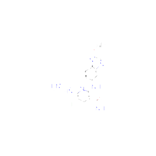 CCCOc1cnc2cc(Nc3nc(N[C@@H]4CCCC[C@@H]4N)c(F)cc3C(N)=O)ccc2n1